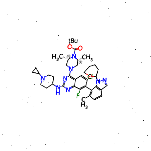 Cc1ccc2cnn(C3CCCCO3)c2c1-c1c(Cl)cc2c(N3C[C@@H](C)N(C(=O)OC(C)(C)C)[C@@H](C)C3)nc(NC3CCN(C4CC4)CC3)nc2c1F